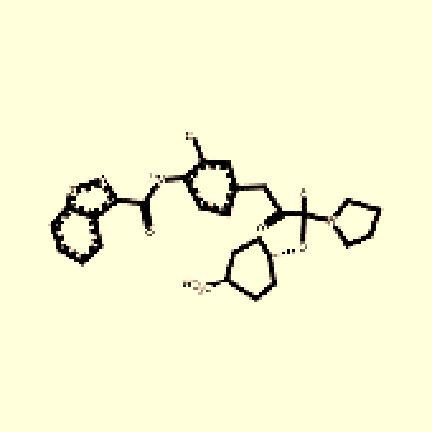 O=C(Nc1ccc(CC(=O)C(F)(O[C@H]2CC[C@H](C(=O)O)CC2)N2CCCC2)cc1Cl)c1nsc2ccccc12